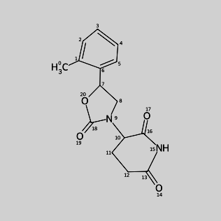 Cc1ccccc1C1CN(C2CCC(=O)NC2=O)C(=O)O1